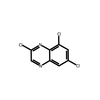 Clc1cc(Cl)c2nc(Cl)cnc2c1